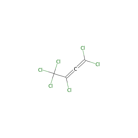 ClC(Cl)=C=C(Cl)C(Cl)(Cl)Cl